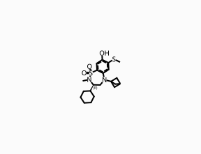 CSc1cc2c(cc1O)S(=O)(=O)N(C)[C@H](C1CCCCC1)CN2C12CC(C1)C2